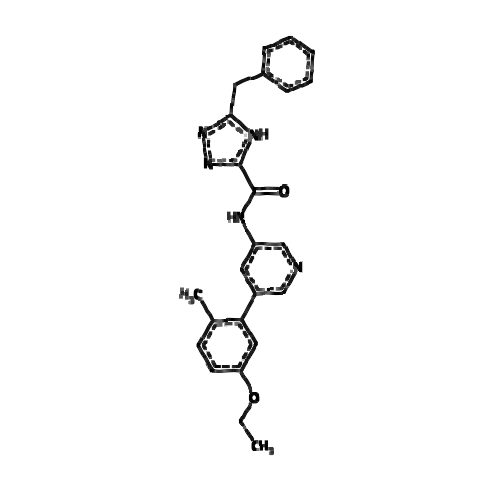 CCOc1ccc(C)c(-c2cncc(NC(=O)c3nnc(Cc4ccccc4)[nH]3)c2)c1